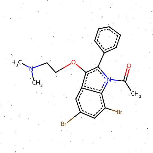 CC(=O)n1c(-c2ccccc2)c(OCCN(C)C)c2cc(Br)cc(Br)c21